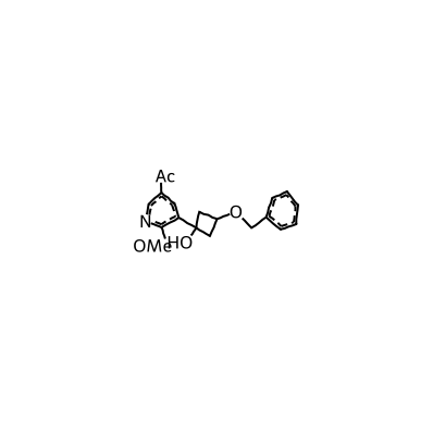 COc1ncc(C(C)=O)cc1C1(O)CC(OCc2ccccc2)C1